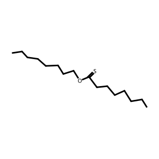 CCCCCCCCOC(=S)CCCCCCC